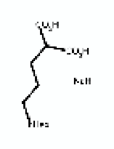 CCCCCCCCCC(C(=O)O)C(=O)O.[NaH]